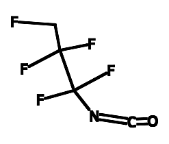 O=C=NC(F)(F)C(F)(F)CF